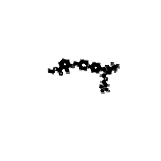 CCOC(=O)c1cccc(OCC2CCN(c3ccc(-c4nc(C(F)(F)F)cn4COCC[Si](C)(C)C)cc3)CC2)c1C